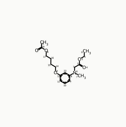 CCOC(=O)CN(C)c1cccc(OCCCCOC(C)=O)c1